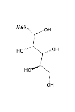 CN[C@H](O)[C@@H](O)[C@H](O)[C@H](O)CO